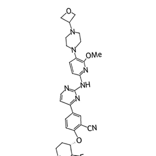 COc1nc(Nc2nccc(-c3ccc(O[C@H]4CCNC[C@@H]4F)c(C#N)c3)n2)ccc1N1CCN(C2COC2)CC1